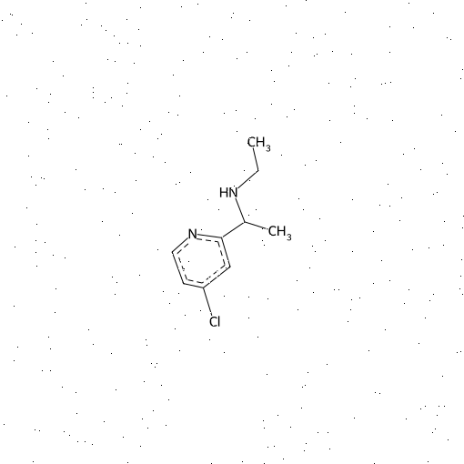 CCNC(C)c1cc(Cl)ccn1